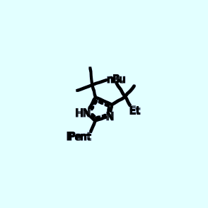 CCCCC(C)(C)c1[nH]c(C(C)CCC)nc1C(C)(C)CC